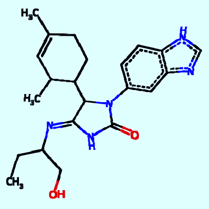 CCC(CO)N=C1NC(=O)N(c2ccc3[nH]cnc3c2)C1C1CCC(C)=CC1C